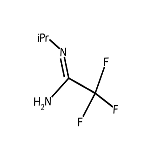 CC(C)N=C(N)C(F)(F)F